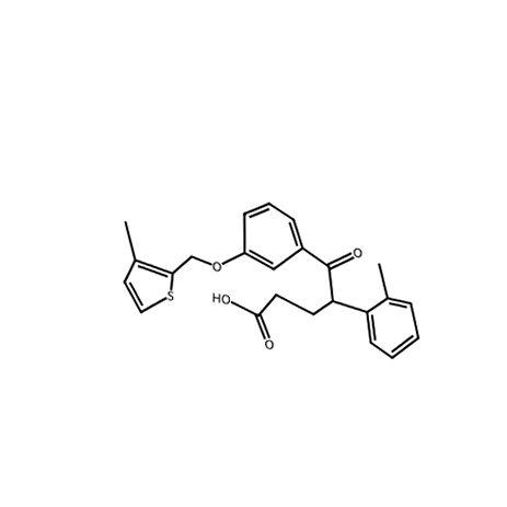 Cc1ccccc1C(CCC(=O)O)C(=O)c1cccc(OCc2sccc2C)c1